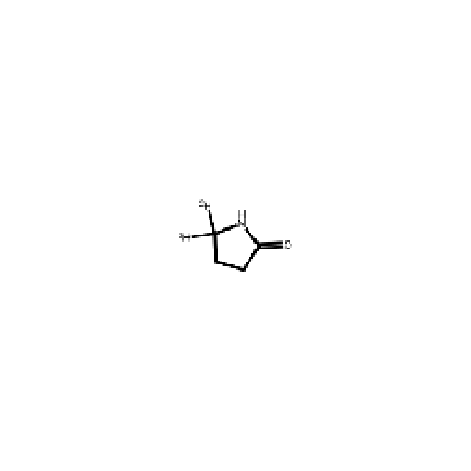 [2H]C1([2H])CCC(=O)N1